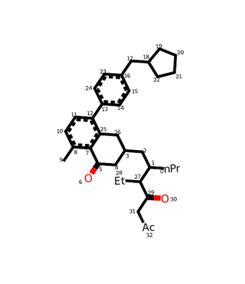 CCCC(CC1CC(=O)c2c(C)ccc(-c3ccc(CC4CCCC4)cc3)c2C1)C(CC)C(=O)CC(C)=O